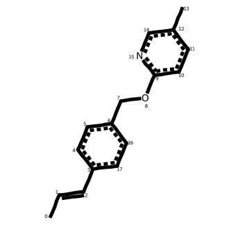 C/C=C/c1ccc(COc2ccc(C)cn2)cc1